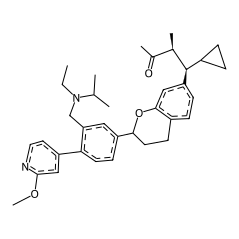 CCN(Cc1cc(C2CCc3ccc([C@H](C4CC4)[C@H](C)C(C)=O)cc3O2)ccc1-c1ccnc(OC)c1)C(C)C